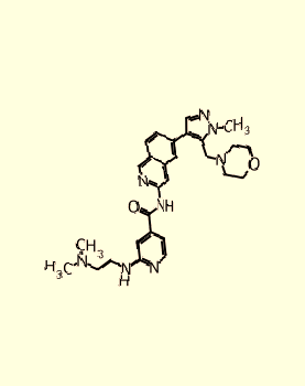 CN(C)CCNc1cc(C(=O)Nc2cc3cc(-c4cnn(C)c4CN4CCOCC4)ccc3cn2)ccn1